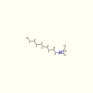 CCCCCCCCCCN1CC1C